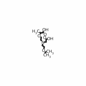 CC(C)OCCN(CCOC(C)C(=O)O)CC(=O)O